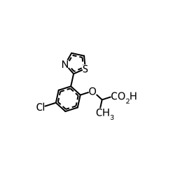 CC(Oc1ccc(Cl)cc1-c1nccs1)C(=O)O